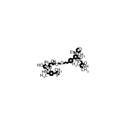 CCN(c1cc(-c2ccc(CCCOCCOc3cc(C(C(=O)N4C[C@H](O)C[C@H]4C(=O)NC(C)c4ccc(-c5scnc5C)cc4)C(C)C)on3)cc2)cc(C(=O)NCc2c(C)cc(C)[nH]c2=O)c1C)C1CCOCC1